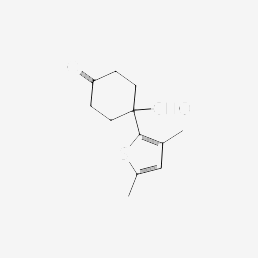 Cc1cc(C)c(C2(C=O)CCC(=O)CC2)s1